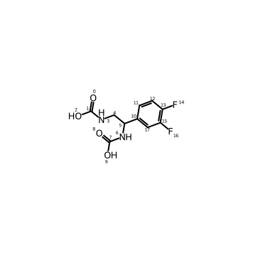 O=C(O)NCC(NC(=O)O)c1ccc(F)c(F)c1